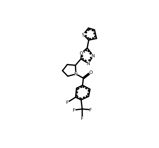 O=C(c1ccc(C(F)(F)F)c(F)c1)N1CCCC1c1nnc(-c2cccs2)o1